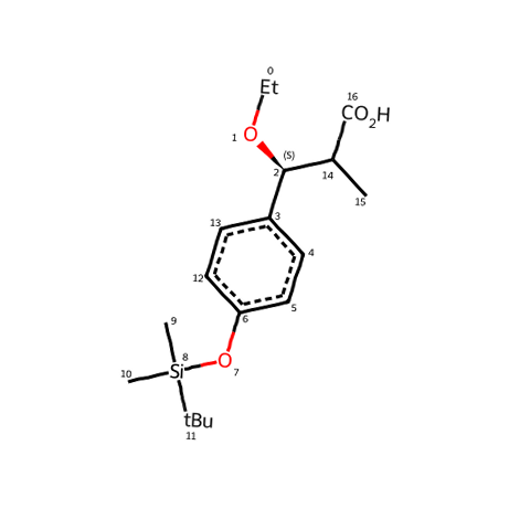 CCO[C@H](c1ccc(O[Si](C)(C)C(C)(C)C)cc1)C(C)C(=O)O